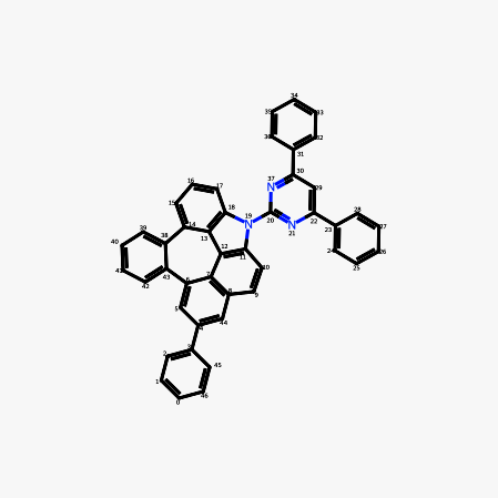 c1ccc(-c2cc3c4c(ccc5c4c4c(cccc4n5-c4nc(-c5ccccc5)cc(-c5ccccc5)n4)-c4ccccc4-3)c2)cc1